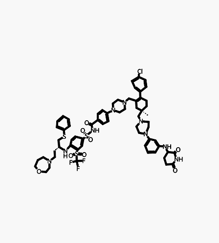 C[C@@]1(CN2CCN(c3cccc(NC4CCC(=O)NC4=O)c3)CC2)CCC(c2ccc(Cl)cc2)=C(CN2CCN(c3ccc(C(=O)NS(=O)(=O)c4ccc(N[C@H](CCN5CCCOCC5)CSc5ccccc5)c(S(=O)(=O)C(F)(F)F)c4)cc3)CC2)C1